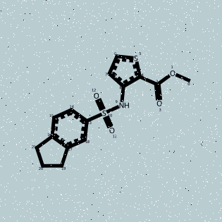 COC(=O)c1sccc1NS(=O)(=O)c1ccc2c(c1)CCC2